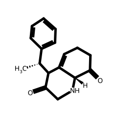 C[C@H](c1ccccc1)C1C(=O)CN[C@H]2C(=O)CCC=C12